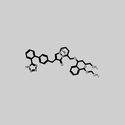 CCCCC(OCC12CCC(CC1)n1cc(Cc3ccc(-c4ccccc4-c4nnn[nH]4)cc3)c(=O)n12)c1ccccc1C(=O)OCC